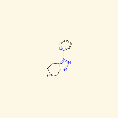 c1ccc(-n2nnc3c2CCNC3)nc1